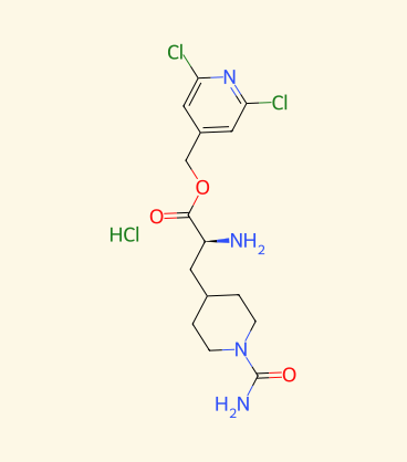 Cl.NC(=O)N1CCC(C[C@H](N)C(=O)OCc2cc(Cl)nc(Cl)c2)CC1